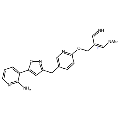 CN/C=C(\C=N)COc1ccc(Cc2cc(-c3cccnc3N)on2)cn1